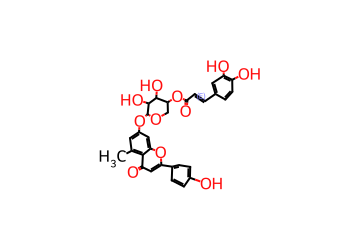 Cc1cc(OC2OCC(OC(=O)/C=C/c3ccc(O)c(O)c3)C(O)C2O)cc2oc(-c3ccc(O)cc3)cc(=O)c12